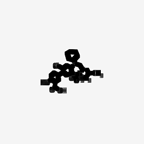 CC(C)C[C@@H]1CN(c2ccccc2)c2cc(Cl)c(-c3ccc(O)c(C(=O)O)c3)cc2S(=O)(=O)N1C